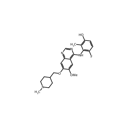 COc1cc2c(Nc3c(F)ccc(O)c3C)ncnc2cc1OCC1CCN(C)CC1